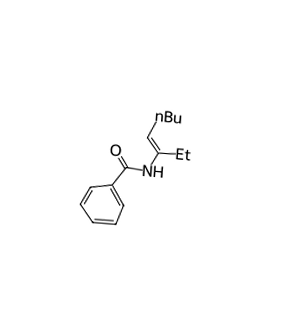 CCCCC=C(CC)NC(=O)c1ccccc1